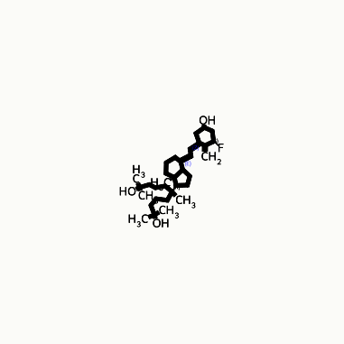 C=C1/C(=C\C=C2/CCC[C@@]3(C)C2CC[C@@H]3C(C)(CCCC(C)(C)O)CCCC(C)(C)O)CC(O)C[C@@H]1F